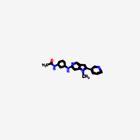 CC(=O)Nc1cccc(Nc2cc3c(cn2)cc(-c2cccnc2)n3C)c1